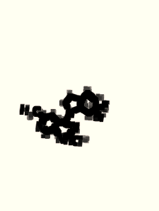 Cc1cc2c(N3CCC4=C3CC(F)(Br)C=C4)ncnc2cn1.Cl